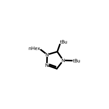 CCCCCCN1N=CN(C(C)(C)C)C1C(C)(C)C